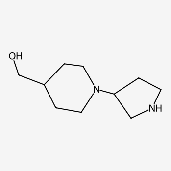 OCC1CCN(C2CCNC2)CC1